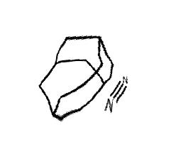 C1C2CC3CC1CC(C2)C3.N#N